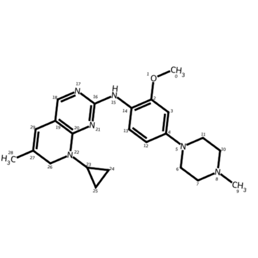 COc1cc(N2CCN(C)CC2)ccc1Nc1ncc2c(n1)N(C1CC1)CC(C)=C2